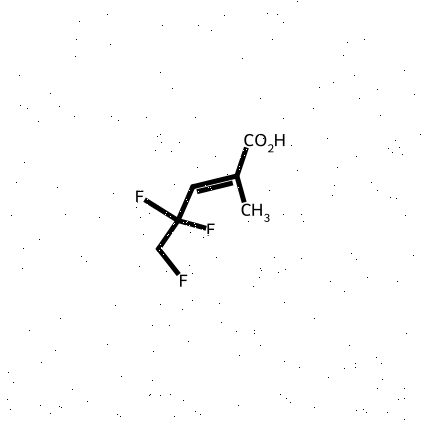 C/C(=C\C(F)(F)CF)C(=O)O